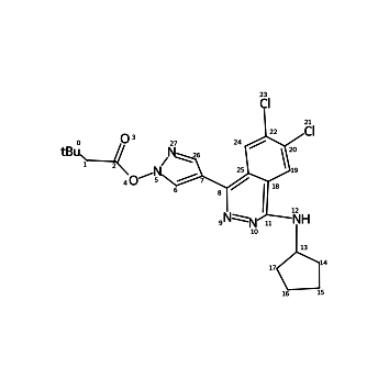 CC(C)(C)CC(=O)On1cc(-c2nnc(NC3CCCC3)c3cc(Cl)c(Cl)cc23)cn1